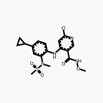 CONC(=O)c1cnc(Cl)cc1Nc1ccc(C2CC2)cc1N(C)S(C)(=O)=O